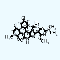 COc1nc(N(C)C)ncc1-c1nc2c(n1C(C)C)C(c1ccc(Cl)cc1)N(c1cc(Cl)cn(C)c1=O)C(=O)N2